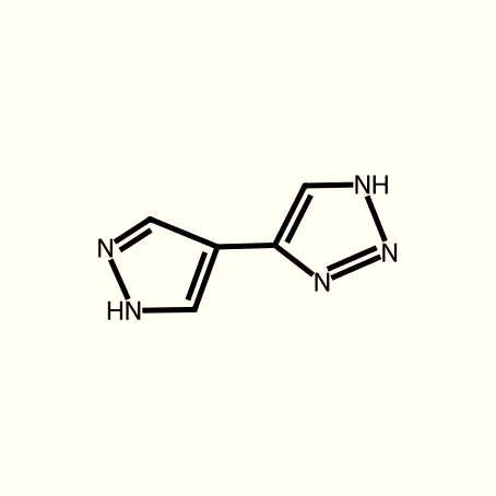 c1n[nH]cc1-c1c[nH]nn1